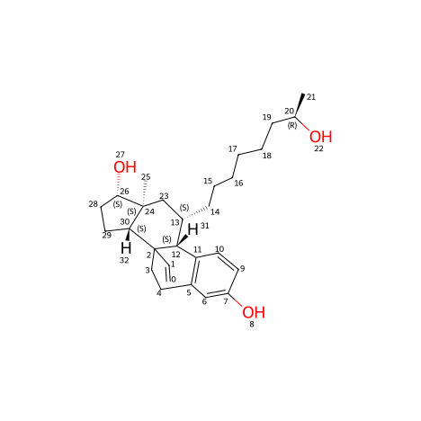 C=CC12CCc3cc(O)ccc3[C@H]1[C@@H](CCCCCC[C@@H](C)O)C[C@]1(C)[C@@H](O)CC[C@@H]21